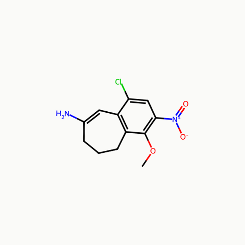 COc1c([N+](=O)[O-])cc(Cl)c2c1CCCC(N)=C2